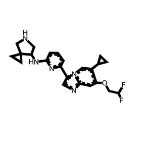 FC(F)COc1cc2ncc(-c3cccc(NC4CNCC45CC5)n3)n2cc1C1CC1